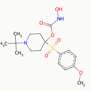 COc1ccc(S(=O)(=O)C2(OC(=O)NO)CCN(C(C)(C)C)CC2)cc1